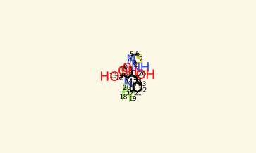 O=C(Nc1nccs1)c1c(C(O)CO)nc2c(C(F)(F)F)cccc2c1O